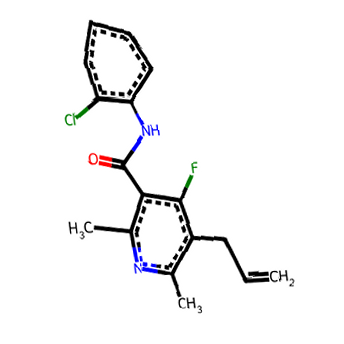 C=CCc1c(C)nc(C)c(C(=O)Nc2ccccc2Cl)c1F